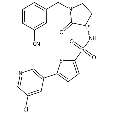 N#Cc1cccc(CN2CC[C@H](NS(=O)(=O)c3ccc(-c4cncc(Cl)c4)s3)C2=O)c1